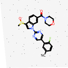 C[S+]([O-])c1cn(-c2ncc(-c3cc(C#N)ccc3F)cn2)c2cc(C(=O)N3CCOCC3)ccc12